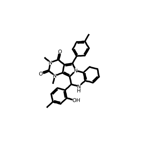 Cc1ccc(-c2c3c(=O)n(C)c(=O)n(C)c3c3n2C2=C(C=CCC2)NC3c2ccc(C)cc2O)cc1